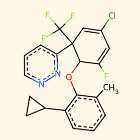 Cc1cccc(C2CC2)c1OC1C(F)=CC(Cl)=CC1(c1cccnn1)C(F)(F)F